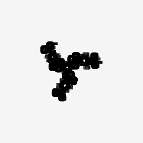 O=[N+]([O-])c1ccc(S(=O)(=O)Oc2cc(OS(=O)(=O)c3ccc([N+](=O)[O-])cc3)cc(OS(=O)(=O)c3ccc([N+](=O)[O-])cc3)c2)cc1